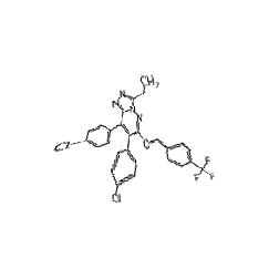 CCc1nnc2c(-c3ccc(Cl)cc3)c(-c3ccc(Cl)cc3)c(OCc3ccc(C(F)(F)F)cc3)nn12